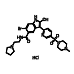 CN1CCN(S(=O)(=O)c2ccc(-c3c(O)[nH]c4cc(Br)c(C(=O)NCCN5CCCC5)cc34)nc2)CC1.Cl